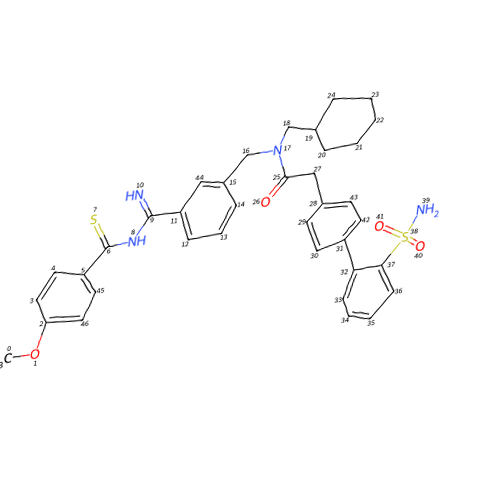 COc1ccc(C(=S)NC(=N)c2cccc(CN(CC3CCCCC3)C(=O)Cc3ccc(-c4ccccc4S(N)(=O)=O)cc3)c2)cc1